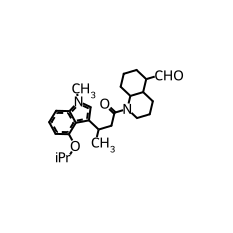 CC(C)Oc1cccc2c1c(C(C)CC(=O)N1CCCC3C(C=O)CCCC31)cn2C